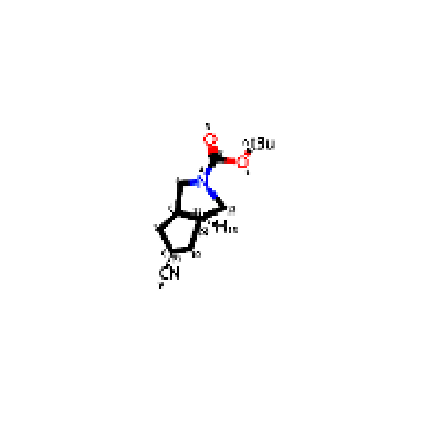 CC(C)(C)OC(=O)N1CC2C[C@@H](C#N)C[C@@H]2C1